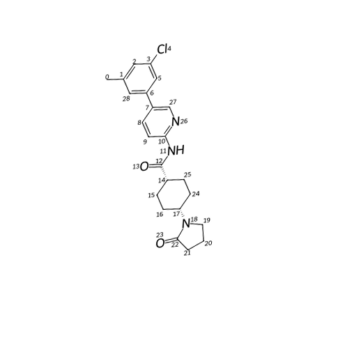 Cc1cc(Cl)cc(-c2ccc(NC(=O)[C@H]3CC[C@@H](N4CCCC4=O)CC3)nc2)c1